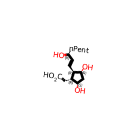 CCCCC[C@@H](O)C=C[C@@H]1[C@@H](CC(=O)O)[C@@H](O)C[C@H]1O